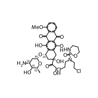 COc1cccc2c1C(=O)c1c(O)c3c(c(O)c1C2=O)C[C@@](O)(C(=O)CO)C[C@@H]3O[C@H]1C[C@H](N)[C@H](O)[C@H](C)O1.O=P1(N(CCCl)CCCl)NCCCO1